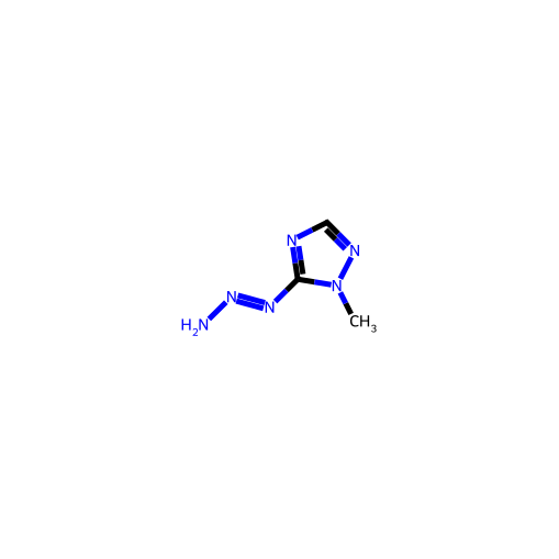 Cn1ncnc1N=NN